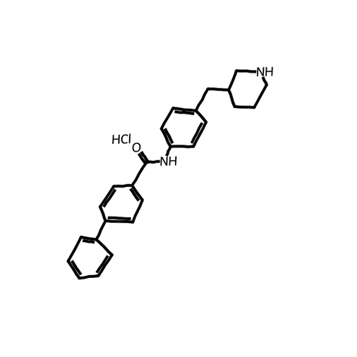 Cl.O=C(Nc1ccc(CC2CCCNC2)cc1)c1ccc(-c2ccccc2)cc1